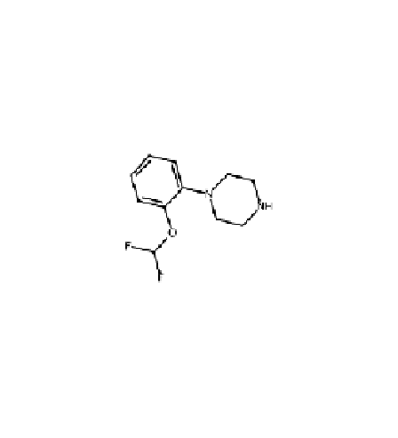 FC(F)Oc1ccccc1N1CCNCC1